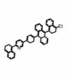 CCC1=c2ccccc2=C(C2=c3ccccc3=C(C3=CC=C(c4ccc(C5=c6ccccc6=CCC5)nc4)CC3)C3C=CC=CC23)CC1